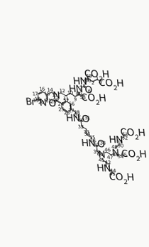 O=C(O)CC[C@@H](NC(=O)N[C@H](CCCCN(Cc1ccc(Br)nc1)C(=O)c1ccc(CNC(=O)CCCCNC(=O)CN(CCNCC(=O)O)CCN(CCNCC(=O)O)CC(=O)O)cc1)C(=O)O)C(=O)O